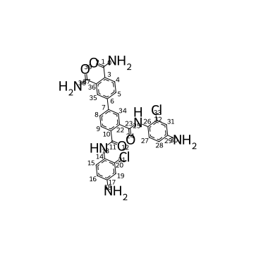 NC(=O)c1ccc(-c2ccc(C(=O)Nc3ccc(N)cc3Cl)c(C(=O)Nc3ccc(N)cc3Cl)c2)cc1C(N)=O